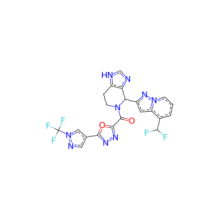 O=C(c1nnc(-c2cnn(C(F)(F)F)c2)o1)N1CCc2[nH]cnc2C1c1cc2c(C(F)F)cccn2n1